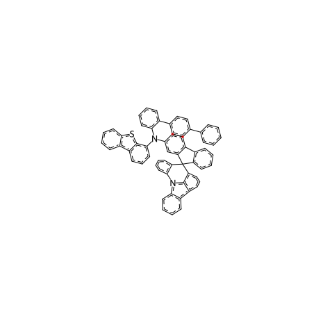 c1ccc(-c2ccc(-c3ccccc3N(c3ccc4c(c3)C3(c5ccccc5-4)c4ccccc4-n4c5ccccc5c5cccc3c54)c3cccc4c3sc3ccccc34)cc2)cc1